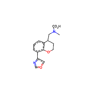 CN(CC1CCOc2c(-c3cocn3)cccc21)C(=O)O